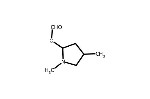 CC1CC(OC=O)N(C)C1